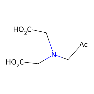 CC(=O)CN(CC(=O)O)CC(=O)O